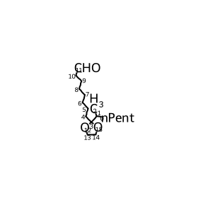 CCCCCC(C)C1(CCCCCCCC=O)OCCO1